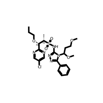 CCCO[C@@H](c1ncc(Cl)cn1)[C@H](C)S(=O)(=O)Nc1nnc(-c2ccccc2)n1C(CCOC)OC